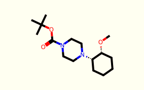 CO[C@@H]1CCCC[C@@H]1N1CCN(C(=O)OC(C)(C)C)CC1